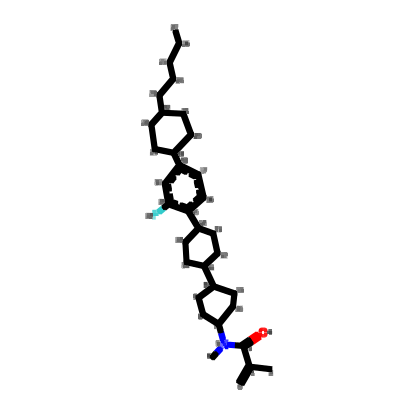 C=C(C)C(=O)N(C)C1CCC(C2CCC(c3ccc(C4CCC(CCCCC)CC4)cc3F)CC2)CC1